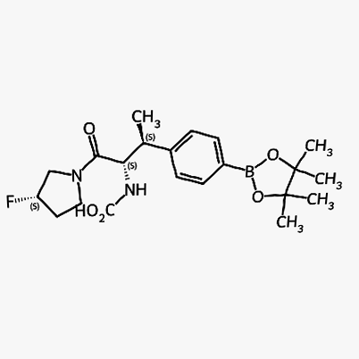 C[C@@H](c1ccc(B2OC(C)(C)C(C)(C)O2)cc1)[C@H](NC(=O)O)C(=O)N1CC[C@H](F)C1